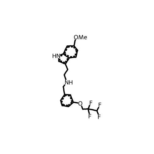 COc1ccc2c(CCNCc3cccc(OCC(F)(F)C(F)F)c3)c[nH]c2c1